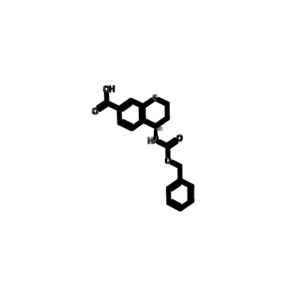 O=C(N[C@@H]1CCSc2cc(C(=O)O)ccc21)OCc1ccccc1